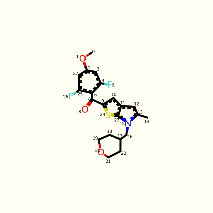 COc1cc(F)c(C(=O)c2cc3cc(C)n(CC4CCOCC4)c3s2)c(F)c1